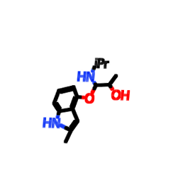 Cc1cc2c(OC(NC(C)C)C(C)O)cccc2[nH]1